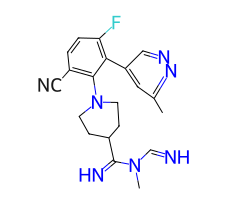 Cc1cc(-c2c(F)ccc(C#N)c2N2CCC(C(=N)N(C)C=N)CC2)cnn1